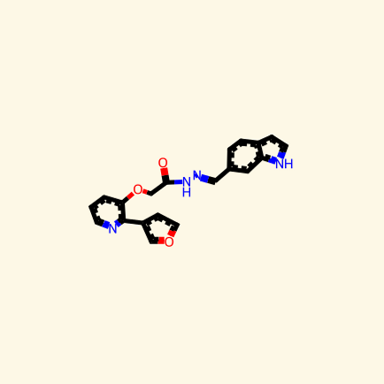 O=C(COc1cccnc1-c1ccoc1)NN=Cc1ccc2cc[nH]c2c1